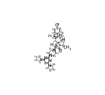 C[C@@H]1C[C@H]2[C@@H]3CCC4=CC(=O)C=C[C@]4(C)C3=CC[C@]2(C)[C@H]1C(=O)CN1CCN(c2nc(N3CCCC3)cc(N3CCCC3)n2)CC1